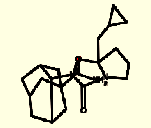 NC(=O)C12CC3CC(C1)C(N1CC4(CC5CC5)CCCN4C1=O)C(C3)C2